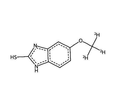 [2H]C([2H])([2H])Oc1ccc2[nH]c(S)nc2c1